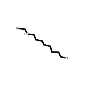 CC(C)CCCCCCCCNCC(C)C